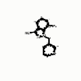 N#Cc1nn(Cc2cccnc2)c2c(F)cccc12